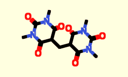 CN1C(=O)C(CC2C(=O)N(C)C(=O)N(C)C2=O)C(=O)N(C)C1=O